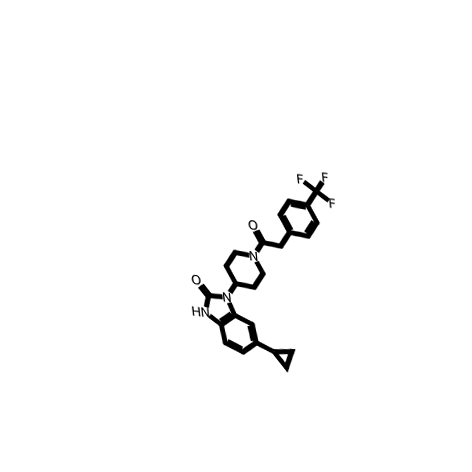 O=C(Cc1ccc(C(F)(F)F)cc1)N1CCC(n2c(=O)[nH]c3ccc(C4CC4)cc32)CC1